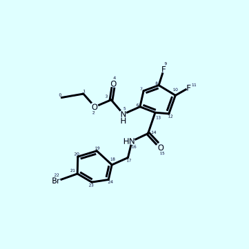 CCOC(=O)Nc1cc(F)c(F)cc1C(=O)NCc1ccc(Br)cc1